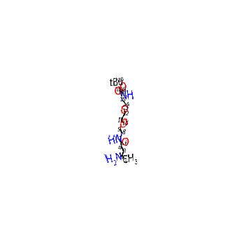 C[C@@H](N)CCC(=O)NCCOCCOCCNC(=O)OC(C)(C)C